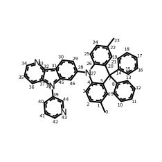 Cc1ccc2c(c1)C(c1ccccc1)(c1ccccc1)c1cc(C)ccc1N2c1ccc2c3ncccc3n(-c3cccnc3)c2c1